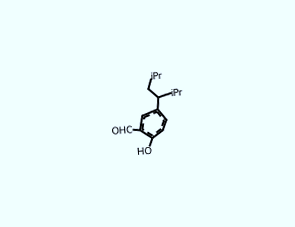 CC(C)CC(c1ccc(O)c(C=O)c1)C(C)C